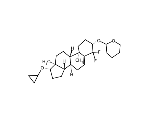 C[C@]12CC[C@H]3[C@@H](CC=C4C(F)(F)[C@@H](OC5CCCCO5)CC[C@@]43C)[C@@H]1CC[C@@H]2OC1CC1